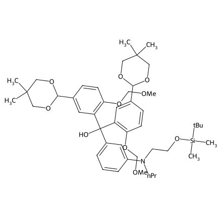 CCCN(CCO[Si](C)(C)C(C)(C)C)c1cccc(C(O)(c2cc(C3OCC(C)(C)CO3)ccc2OCOC)c2cc(C3OCC(C)(C)CO3)ccc2OCOC)c1